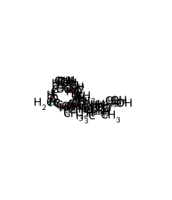 C=C1C[C@@H]2CC[C@@]34C[C@@H]5C6O[C@](O)(C(O3)C6O[C@H]3CC[C@H](CC(=O)O[C@@H]6[C@@H](C)[C@@H]7O[C@@H]8C[C@@]9(C[C@@H]%10O[C@]%11(C[C@H](C)[C@@H]%12O[C@H]([C@@H](O)C[C@@H](O)CO)C[C@@H]%12O%11)C[C@H](C)[C@@H]%10O9)O[C@@H]8C[C@@H]7O[C@H]6C[C@H]6O[C@@H](CC[C@@H]1O2)C[C@@H](C)C6=C)O[C@@H]35)[C@H]4O